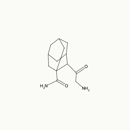 NCC(=O)C1C2CC3CC(C2)CC1(C(N)=O)C3